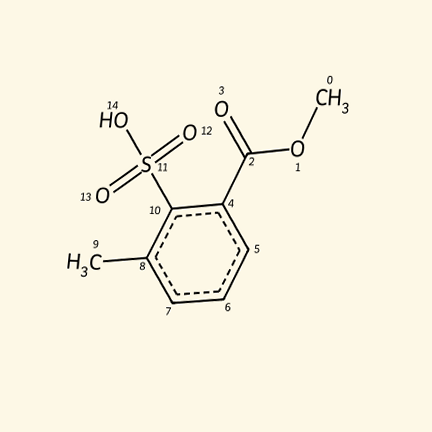 COC(=O)c1cccc(C)c1S(=O)(=O)O